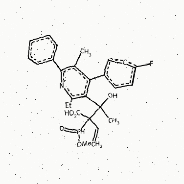 C=CC(C(=O)O)([PH](=O)OC)C(C)(O)c1c(CC)nc(-c2ccccc2)c(C)c1-c1ccc(F)cc1